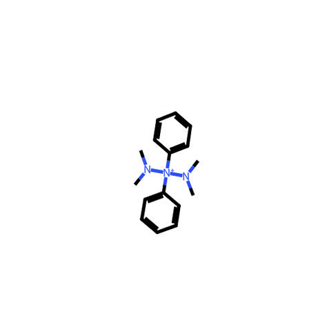 CN(C)[N+](c1ccccc1)(c1ccccc1)N(C)C